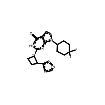 O=c1[nH]c([C@@H]2CCC2c2nnco2)nc2c1cnn2C1CCC(F)(F)CC1